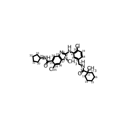 Cn1c(Nc2cc(CNC(=O)C3(C)CCCCC3)ccc2Cl)nc2cc(C(=O)NC3CCCC3)c(Cl)cc21